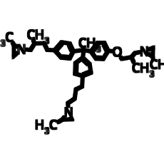 CC(CCc1ccc(C(C)(c2ccc(CCCCN3CC3C)cc2)c2ccc(OCC(C)CN3CC3C)cc2)cc1)CN1CC1C